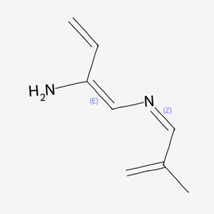 C=C/C(N)=C\N=C/C(=C)C